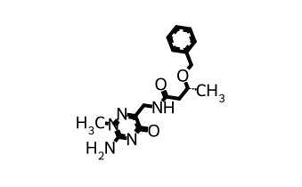 C[C@H](CC(=O)NCc1nn(C)c(N)nc1=O)OCc1ccccc1